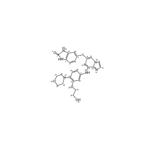 O=c1[nH]c2ccc(Cc3cn4ccnc4c(Nc4ccc(N5CCOCC5)c(OCCO)c4)n3)cc2[nH]1